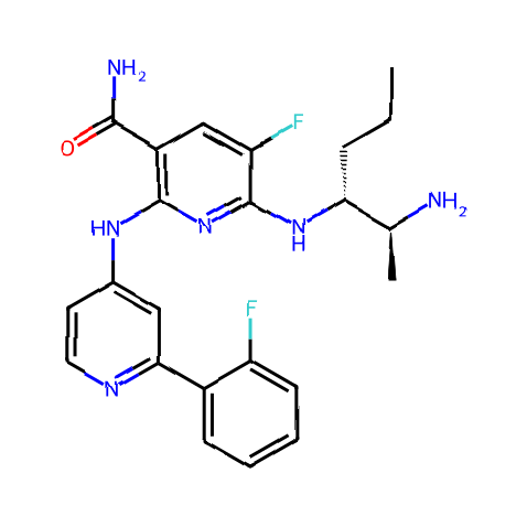 CCC[C@@H](Nc1nc(Nc2ccnc(-c3ccccc3F)c2)c(C(N)=O)cc1F)[C@H](C)N